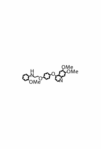 COc1ccccc1NCCOc1ccc(Oc2ccnc3cc(OC)c(OC)cc23)cc1